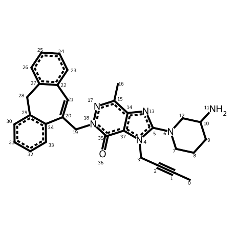 CC#CCn1c(N2CCCC(N)C2)nc2c(C)nn(CC3=Cc4ccccc4Cc4ccccc43)c(=O)c21